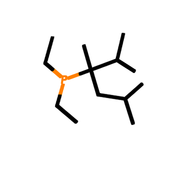 CCP(CC)C(C)(CC(C)C)C(C)C